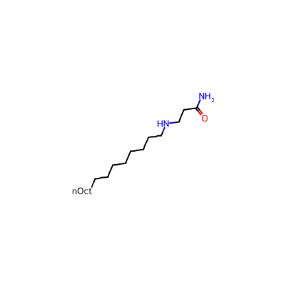 CCCCCCCCCCCCCCCCNCCC(N)=O